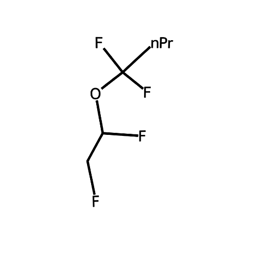 CCCC(F)(F)OC(F)CF